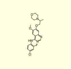 COc1cc2c(Nc3ccc(Cl)cc3F)ncnc2cc1OCC(C)N1CCOCC1